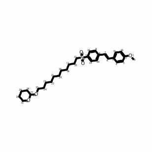 COc1ccc(C=Cc2ccc(S(=O)(=O)CCCCCCCCCCCOC3CCCCO3)cc2)cc1